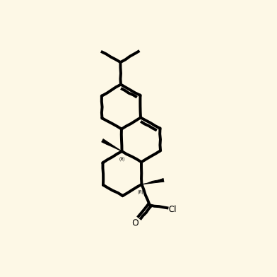 CC(C)C1=CC2=CCC3[C@](C)(CCC[C@@]3(C)C(=O)Cl)C2CC1